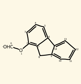 O=[C]Oc1cccc2c1Cc1ccccc1-2